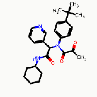 CC(=O)C(=O)N(c1ccc(C(C)(C)C)cc1)[C@@H](C(=O)NC1CCCCC1)c1cccnc1